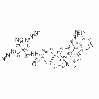 CCC1=CNCC(C2=CCC3[C@]2(CN=[N+]=[N-])CCC2c4ccc(C(=O)NCC(CN=O)(CN=[N+]=[N-])CN=[N+]=[N-])cc4CC[C@]23N)=C1